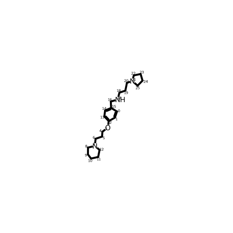 c1cc(OCCCN2CCCCC2)ccc1CNCCCN1CCCC1